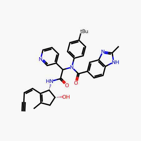 C#C/C=C\C1=C(C)C[C@@H](O)[C@H]1NC(=O)C(c1cccnc1)N(C(=O)c1ccc2[nH]c(C)nc2c1)c1ccc(C(C)(C)C)cc1